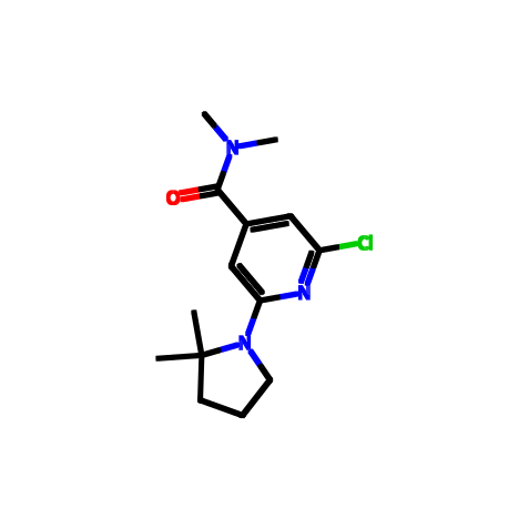 CN(C)C(=O)c1cc(Cl)nc(N2CCCC2(C)C)c1